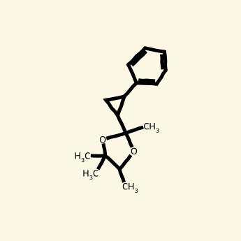 CC1OC(C)(C2CC2c2ccccc2)OC1(C)C